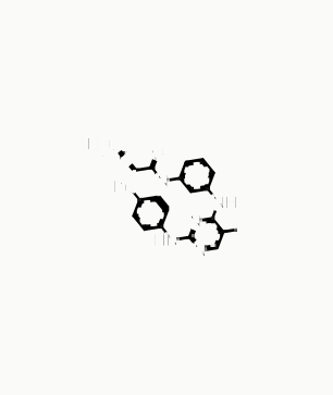 C=C=CC(=O)Nc1cccc(Nc2nc(Nc3c#cc(CCCC)cc3)ncc2F)c1